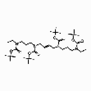 CCN(CCCN(CC=CCN(CCCN(CC)C(=O)OC(C)(C)C)C(=O)OC(C)(C)C)C(=O)OC(C)(C)C)C(=O)OC(C)(C)C